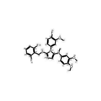 COc1cc(-n2c(N(C)c3ccc(OC)c(OC)c3)cnc2SCc2c(F)cccc2F)ccc1F